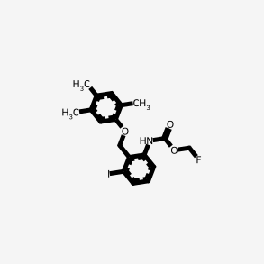 Cc1cc(C)c(OCc2c(I)cccc2NC(=O)OCF)cc1C